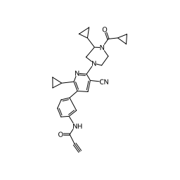 C#CC(=O)Nc1cccc(-c2cc(C#N)c(N3CCN(C(=O)C4CC4)C(C4CC4)C3)nc2C2CC2)c1